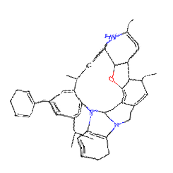 CC1=CC2C3OC4=C5C(=CC(C)C42)CN2C4=C(C=CCC4)N(c4c(C(C)C)cc(C6=CCCC=C6)cc4C(C)CC3N1)C52